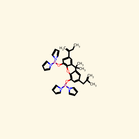 C=C(C)Cc1cc(OP(n2cccc2)n2cccc2)c2c(c1)C(C)(C)c1cc(C(=C)CC)cc(OP(n3cccc3)n3cccc3)c1O2